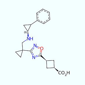 O=C(O)[C@H]1C[C@@H](c2nc(C3(CN[C@H]4CC4c4ccccc4)CC3)no2)C1